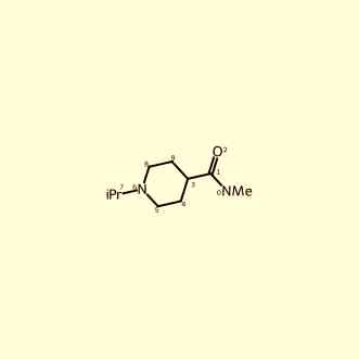 CNC(=O)C1CCN(C(C)C)CC1